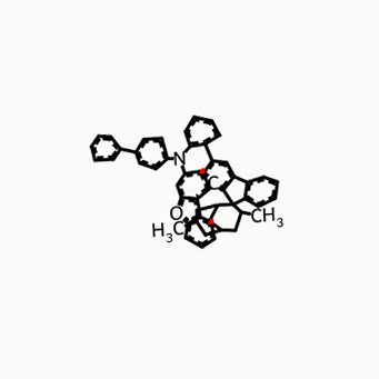 CC1CC2CC(C)C3(c4ccccc4-c4cc(-c5ccccc5N(c5ccc(-c6ccccc6)cc5)c5ccc6c(c5)oc5ccccc56)ccc43)C(C1)C2